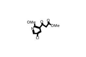 COC(=O)CC(=O)c1cc(Cl)cnc1OC